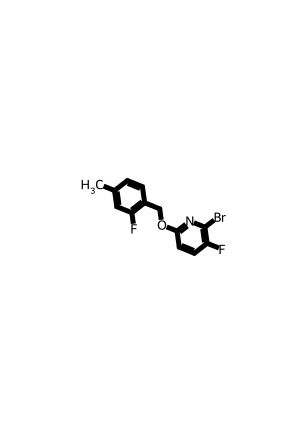 Cc1ccc(COc2ccc(F)c(Br)n2)c(F)c1